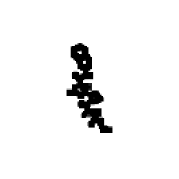 C[C@H](NC(=O)OC(C)(C)C)C(=O)N1CCC[C@H]1C(=O)N[C@@H](CO)C(=O)Nc1ccc2ccccc2c1